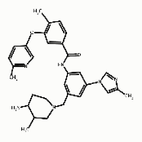 Cc1ccc(Oc2cc(C(=O)Nc3cc(CN4CCC(N)C(C)C4)cc(-n4cnc(C)c4)c3)ccc2C)cn1